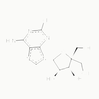 CC[C@]1(CO)O[C@@H](n2cnc3c(N)nc(Cl)nc32)[C@H](O)[C@@H]1O